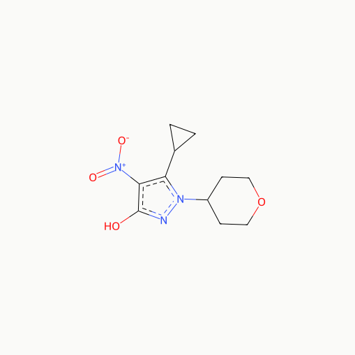 O=[N+]([O-])c1c(O)nn(C2CCOCC2)c1C1CC1